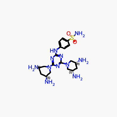 N[C@@H]1C[C@H](N)CN(c2nc(Nc3ccc(S(N)(=O)=O)cc3)nc(N3C[C@H](N)C[C@H](N)C3)n2)C1